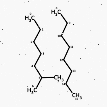 CCCCCC(C)C.CCCCCCCC